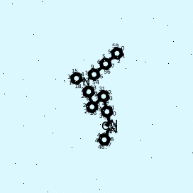 c1ccc(-c2ccc(-c3ccc(N(c4ccccc4)c4ccc(-c5ccccc5-c5ccccc5-c5ccc(-c6nnc(-c7ccccc7)o6)cc5)cc4)cc3)cc2)cc1